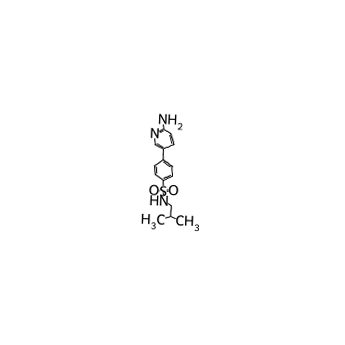 CC(C)CNS(=O)(=O)c1ccc(-c2ccc(N)nc2)cc1